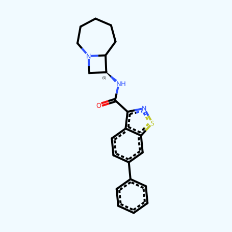 O=C(N[C@H]1CN2CCCCCC12)c1nsc2cc(-c3ccccc3)ccc12